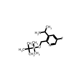 CC(N)c1cc(F)cnc1CO[Si](C)(C)C(C)(C)C